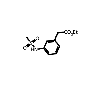 CCOC(=O)Cc1cccc(NS(C)(=O)=O)c1